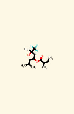 CCC(C)C(=O)OC(CC(C)C)CC(C)(O)C(F)(F)F